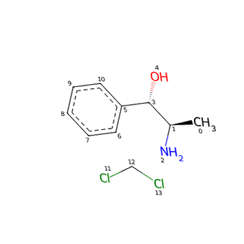 C[C@@H](N)[C@@H](O)c1ccccc1.ClCCl